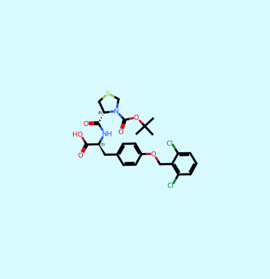 CC(C)(C)OC(=O)N1CSC[C@H]1C(=O)N[C@@H](Cc1ccc(OCc2c(Cl)cccc2Cl)cc1)C(=O)O